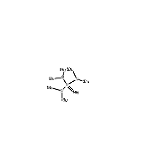 CC(C)(C)N(C(C)(C)C)P(=N)(N(C(C)(C)C)C(C)(C)C)N(C(C)(C)C)C(C)(C)C